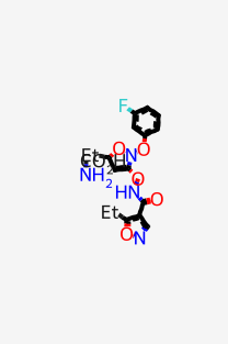 CCc1oncc1C(=O)NOC1=CC(CC)ON1Oc1cccc(F)c1.NC(=O)O